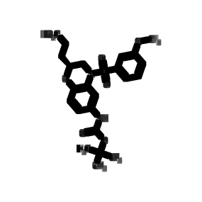 CC(C)(OC(=O)Nc1ccc2c(c1)N(S(=O)(=O)c1cccc(OC(F)(F)F)c1)C[C@H](CCC(=O)O)O2)C(F)(F)F